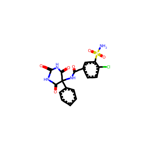 NS(=O)(=O)c1cc(C(=O)NC2(c3ccccc3)C(=O)NC(=O)NC2=O)ccc1Cl